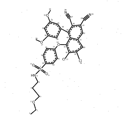 CCOCCCNS(=O)(=O)c1ccc(Oc2c(Cl)c(Cl)cc3cc(C#N)c(C#N)c(-c4cc(OC)cc(OC)c4)c23)cc1